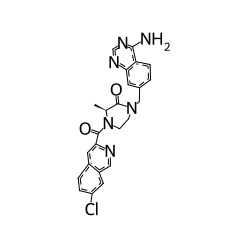 C[C@H]1C(=O)N(Cc2ccc3c(N)ncnc3c2)CCN1C(=O)c1cc2ccc(Cl)cc2cn1